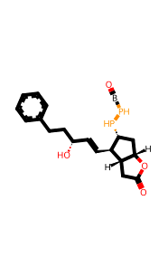 O=BPP[C@@H]1C[C@@H]2OC(=O)C[C@@H]2[C@H]1/C=C/[C@H](O)CCc1ccccc1